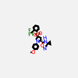 COc1ccc(N2C[C@H](S(=O)(=O)c3ccccc3C(F)(F)F)C[C@H]2C(=O)NC2(C#N)CC2)cc1